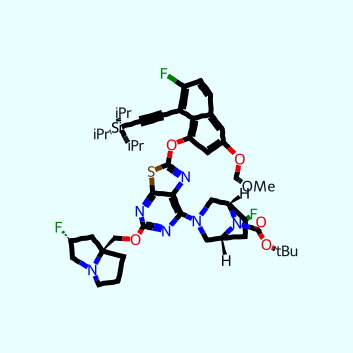 COCOc1cc(Oc2nc3c(N4C[C@H]5CC(F)[C@@H](C4)N5C(=O)OC(C)(C)C)nc(OC[C@@]45CCCN4C[C@H](F)C5)nc3s2)c2c(C#C[Si](C(C)C)(C(C)C)C(C)C)c(F)ccc2c1